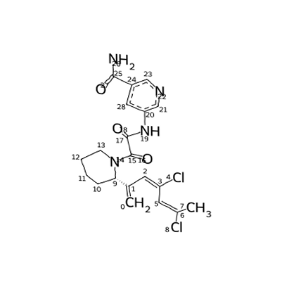 C=C(/C=C(Cl)\C=C(/C)Cl)[C@@H]1CCCCN1C(=O)C(=O)Nc1cncc(C(N)=O)c1